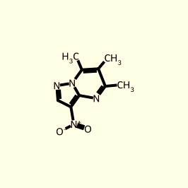 Cc1nc2c([N+](=O)[O-])cnn2c(C)c1C